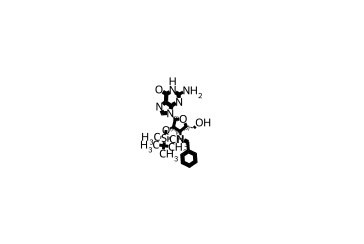 CC(C)(C)[Si](C)(C)O[C@@H]1[C@H](N=Cc2ccccc2)[C@@H](CO)O[C@H]1n1cnc2c(=O)[nH]c(N)nc21